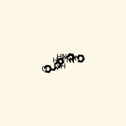 c1cc(N2CCCCC2)nnc1N[C@H]1C[C@@H]2CN(CC3CCOCC3)C[C@@H]2C1